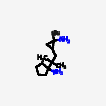 CC(C)(C)C1(N)CC1CC(C)(C)C1(N)CCCC1